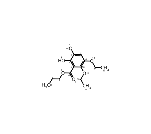 CCCOC(=O)c1c(O)c(O)cc(OCC)c1OCC